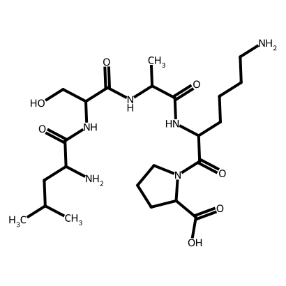 CC(C)CC(N)C(=O)NC(CO)C(=O)NC(C)C(=O)NC(CCCCN)C(=O)N1CCCC1C(=O)O